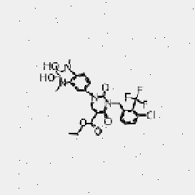 CCOC(=O)c1cn(-c2ccc3c(c2)N(C)S(O)(O)N3C)c(=O)n(Cc2cccc(Cl)c2C(F)(F)F)c1=O